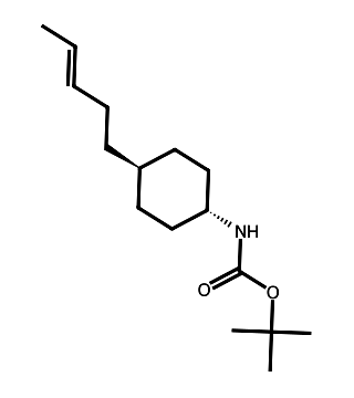 C/C=C/CC[C@H]1CC[C@H](NC(=O)OC(C)(C)C)CC1